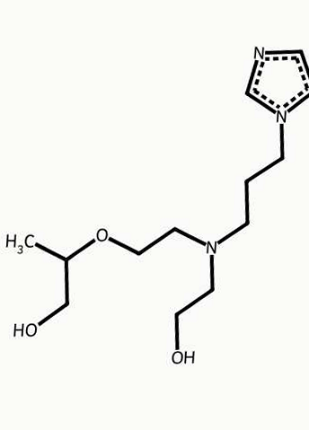 CC(CO)OCCN(CCO)CCCn1ccnc1